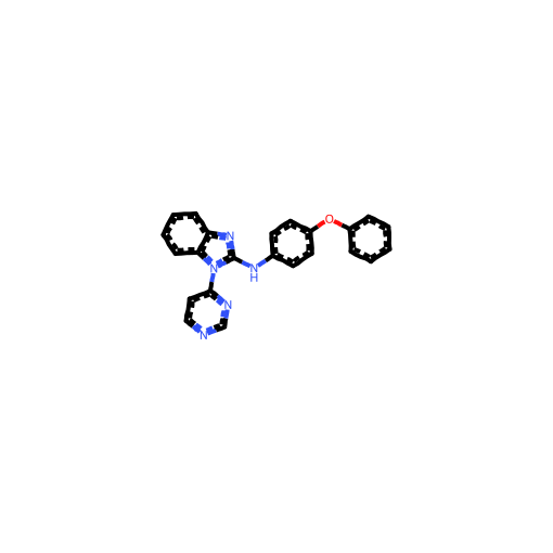 c1ccc(Oc2ccc(Nc3nc4ccccc4n3-c3ccncn3)cc2)cc1